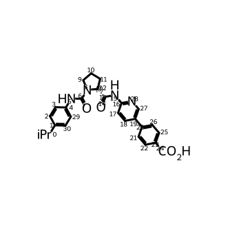 CC(C)c1ccc(NC(=O)N2CCC[C@@H]2C(=O)Nc2ccc(-c3ccc(C(=O)O)cc3)cn2)cc1